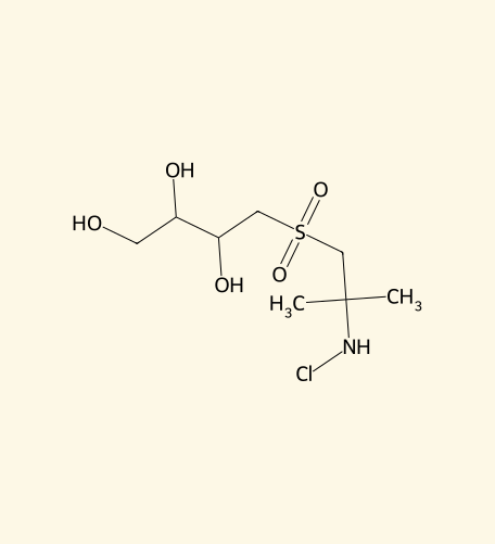 CC(C)(CS(=O)(=O)CC(O)C(O)CO)NCl